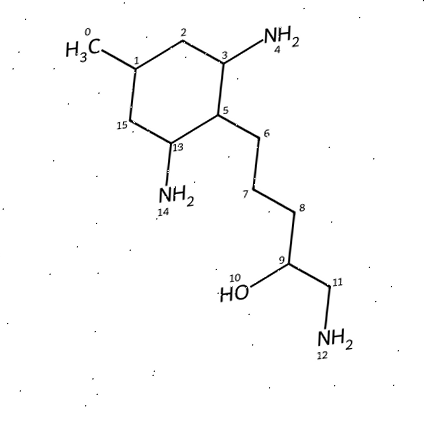 CC1CC(N)C(CCCC(O)CN)C(N)C1